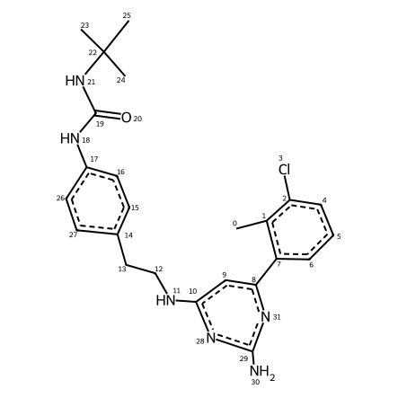 Cc1c(Cl)cccc1-c1cc(NCCc2ccc(NC(=O)NC(C)(C)C)cc2)nc(N)n1